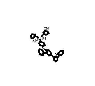 N#Cc1cccc(CNC(c2ccc(-n3c4ccccc4c4cc(-c5cccc6c5sc5ccccc56)ccc43)cc2)N(N)Cc2ccccc2)c1